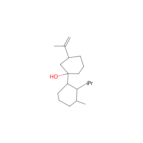 C=C(C)C1CCCC(O)(C2CCCC(C)C2C(C)C)C1